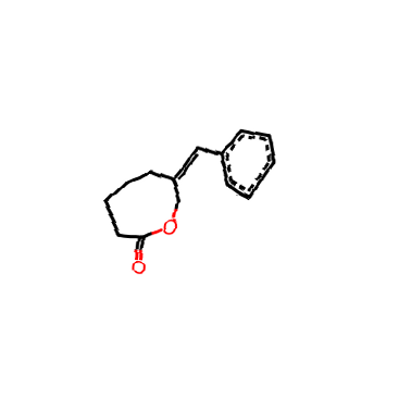 O=C1CCCC/C(=C/c2ccccc2)CO1